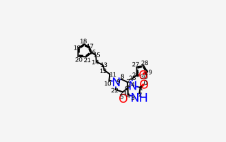 O=C1CNC(=O)C2(CCN(CCCCCCc3ccccc3)CC2)N1Cc1ccco1